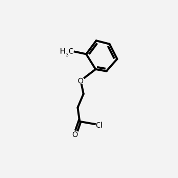 Cc1ccccc1OCCC(=O)Cl